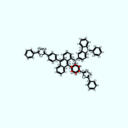 c1ccc(-c2nnc(-c3ccc(-c4c5ccccc5c(-c5ccc(-c6nnc(-c7ccccc7)o6)cc5)c5c(N(c6ccccc6)c6ccc7c(c6)c6ccccc6n7-c6ccccc6)cccc45)cc3)o2)cc1